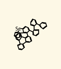 c1ccc(-c2ccccc2-c2ccccc2-c2ccc3[se]c4ccccc4c3c2-c2cccc3c4ccccc4c4ccccc4c23)cc1